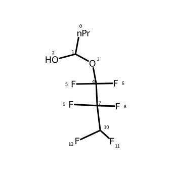 CCCC(O)OC(F)(F)C(F)(F)C(F)F